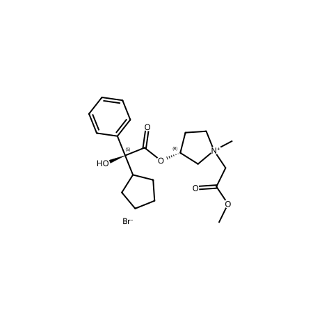 COC(=O)C[N+]1(C)CC[C@@H](OC(=O)[C@@](O)(c2ccccc2)C2CCCC2)C1.[Br-]